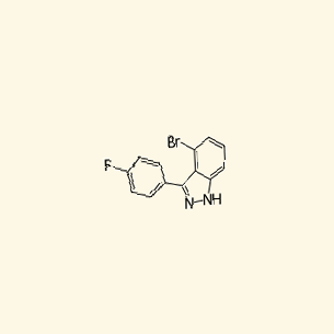 Fc1ccc(-c2n[nH]c3cccc(Br)c23)cc1